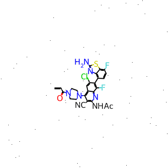 C=CC(=O)N1CCN(c2c(C#N)c(NC(C)=O)nc3c(F)c(-c4ccc(F)c5sc(N)nc45)c(Cl)cc23)CC1